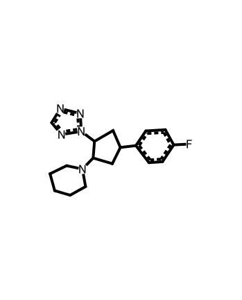 Fc1ccc(C2CC(N3CCCCC3)C(n3ncnn3)C2)cc1